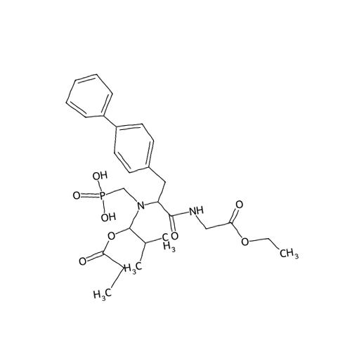 CCOC(=O)CNC(=O)C(Cc1ccc(-c2ccccc2)cc1)N(CP(=O)(O)O)C(OC(=O)CC)C(C)C